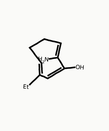 CCC1=C\CC/C=C(N)/C(O)=C\1